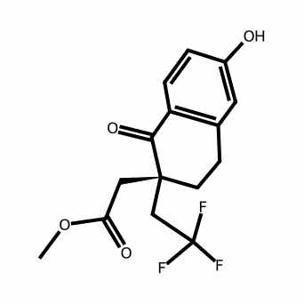 COC(=O)C[C@]1(CC(F)(F)F)CCc2cc(O)ccc2C1=O